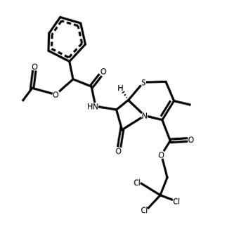 CC(=O)OC(C(=O)NC1C(=O)N2C(C(=O)OCC(Cl)(Cl)Cl)=C(C)CS[C@H]12)c1ccccc1